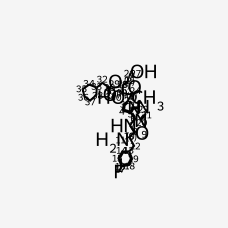 C[C@@]1(c2ccc3c(NC(=O)[C@@H](N)Cc4ccc(F)cc4)ncnn23)O[C@H](CO)[C@@H](OC(=O)CC2CCCCC2)[C@H]1O